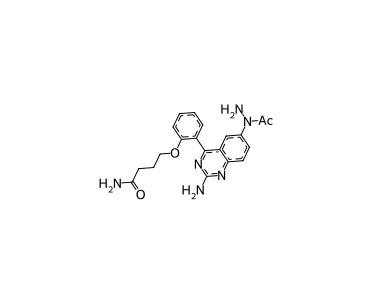 CC(=O)N(N)c1ccc2nc(N)nc(-c3ccccc3OCCCC(N)=O)c2c1